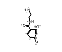 Cl.NCCNC(=O)c1ccc(S)cc1